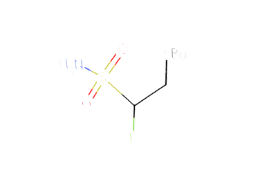 CCCCCC(F)S(N)(=O)=O